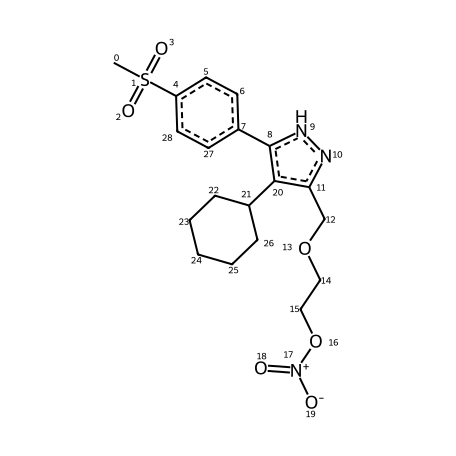 CS(=O)(=O)c1ccc(-c2[nH]nc(COCCO[N+](=O)[O-])c2C2CCCCC2)cc1